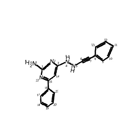 Nc1nc(NNC#Cc2ccccc2)cc(-c2ccccc2)n1